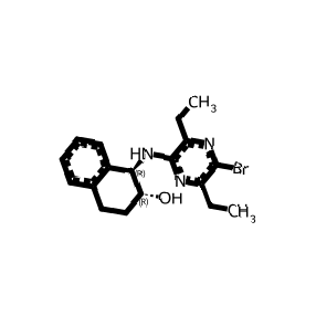 CCc1nc(N[C@@H]2c3ccccc3CC[C@H]2O)c(CC)nc1Br